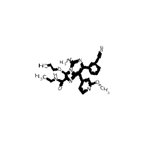 CCNC(=O)c1nc2c(-c3ccnc(OC)c3)c(-c3cccc(C#N)c3)nc(N)n2c1OCCO